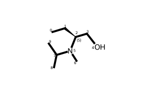 CC[C@@H](CO)N(C)C(C)C